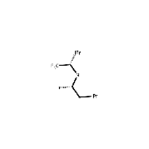 CC(C)C[C@H](C)N[C@@H](C(C)C)C(F)(F)F